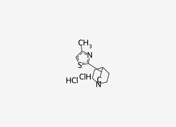 Cc1csc(C2CN3CCC2CC3)n1.Cl.Cl